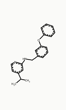 CC(C)c1ccnc(NCc2cccc(Oc3ccccc3)c2)c1